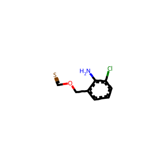 Nc1c(Cl)cccc1COC=S